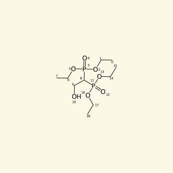 CCOP(=O)(OCC)C(CO)P(=O)(OCC)OCC